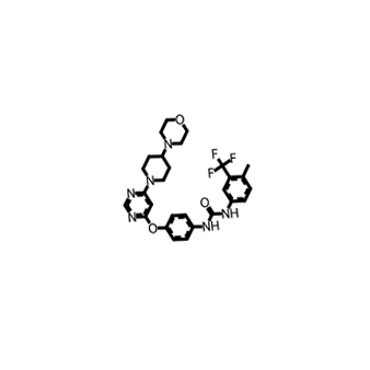 Cc1ccc(NC(=O)Nc2ccc(Oc3cc(N4CCC(N5CCOCC5)CC4)ncn3)cc2)cc1C(F)(F)F